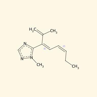 C=C(C)/C(=C\C=C/CC)c1ncnn1C